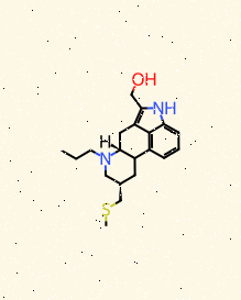 CCCN1C[C@H](CSC)CC2c3cccc4[nH]c(CO)c(c34)C[C@H]21